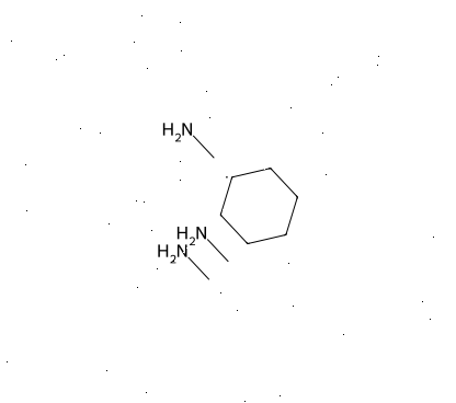 CN.CN.CN.[CH]1CCCCC1